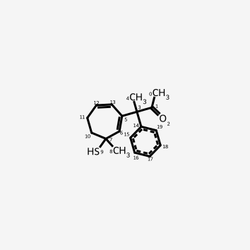 CC(=O)C(C)(C1=CC(C)(S)CCC=C1)c1ccccc1